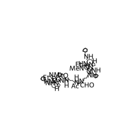 CC[C@H](NC)C(=O)N[C@@H]1C(=O)N2[C@@H](CC[C@@H]1CNCc1ccccc1)CC[C@H]2C(=O)N[C@H](C(=O)NCCCCN/C(C=O)=C(\NCCCCNC(=O)[C@@H](NC(=O)[C@@H]1CC[C@@H]2CC[C@H](CNCc3ccccc3)[C@H](NC(=O)[C@H](CC)NC)C(=O)N21)c1ccccc1)C(C)=O)c1ccccc1